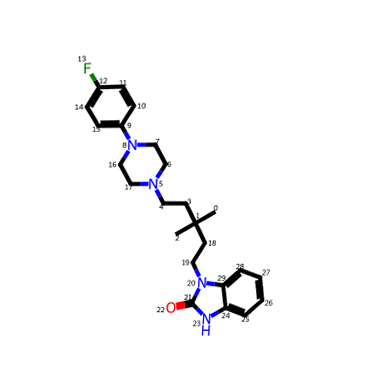 CC(C)(CCN1CCN(c2ccc(F)cc2)CC1)CCn1c(=O)[nH]c2ccccc21